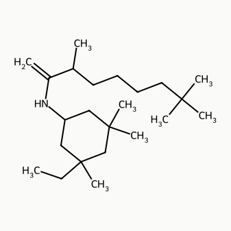 C=C(NC1CC(C)(C)CC(C)(CC)C1)C(C)CCCCC(C)(C)C